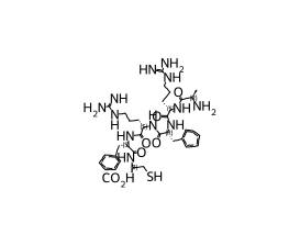 C[C@@H](N)C(=O)N[C@@H](CCCNC(=N)N)C(=O)N[C@H](Cc1ccccc1)C(=O)N[C@@H](CCCNC(=N)N)C(=O)N[C@@H](Cc1ccccc1)C(=O)N[C@@H](CS)C(=O)O